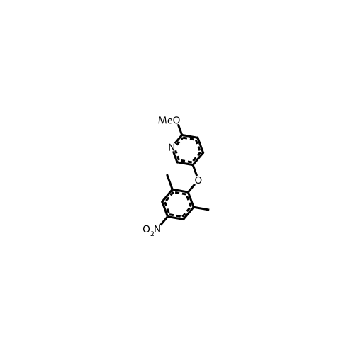 COc1ccc(Oc2c(C)cc([N+](=O)[O-])cc2C)cn1